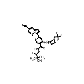 CC(C)(O)C(F)CNC(=O)c1cnc(-c2ccc3cc(C#N)cnn23)cc1NC[C@H]1CCN1CC(F)(F)F